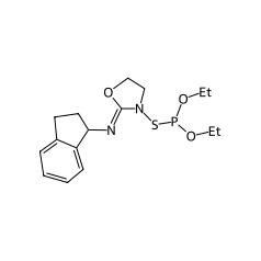 CCOP(OCC)SN1CCO/C1=N\C1CCc2ccccc21